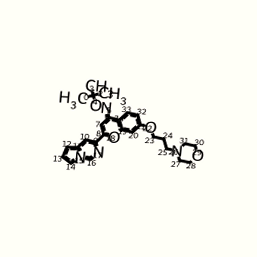 CC(C)(C)ON=c1cc(-c2cc3cccn3cn2)oc2cc(OCCCN3CCOCC3)ccc12